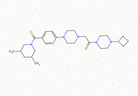 CC1CC(C)CN(C(=O)c2ccc(N3CCN(CC(=O)N4CCN(C5CCC5)CC4)CC3)cc2)C1